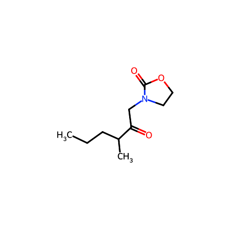 CCCC(C)C(=O)CN1CCOC1=O